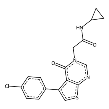 O=C(Cn1cnc2scc(-c3ccc(Cl)cc3)c2c1=O)NC1CC1